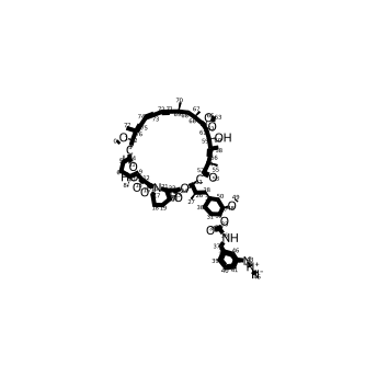 CO[C@H]1C[C@@H]2CC[C@@H](C)[C@@](O)(O2)C(=O)C(=O)N2CCCC[C@H]2C(=O)O[C@H]([C@H](C)C[C@@H]2CC[C@@H](OC(=O)NCc3cccc(N=[N+]=[N-])c3)[C@H](OC)C2)CC(=O)[C@H](C)/C=C(\C)[C@@H](O)[C@@H](OC)C(=O)[C@H](C)C[C@H](C)/C=C/C=C/C=C/1C